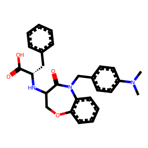 CN(C)c1ccc(CN2C(=O)C(N[C@@H](Cc3ccccc3)C(=O)O)COc3ccccc32)cc1